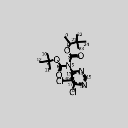 CC(OC(=O)N(C(=O)OC(C)(C)C)c1ncnc(Cl)c1Cl)C(C)(C)C